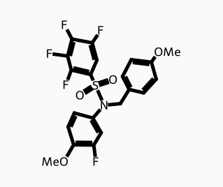 COc1ccc(CN(c2ccc(OC)c(F)c2)S(=O)(=O)c2cc(F)c(F)c(F)c2F)cc1